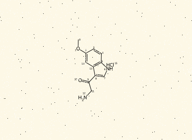 COc1ccc2[nH]cc(C(=O)CN)c2c1.Cl